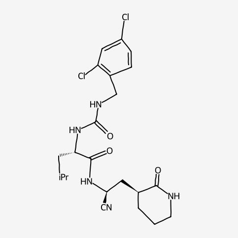 CC(C)C[C@H](NC(=O)NCc1ccc(Cl)cc1Cl)C(=O)N[C@H](C#N)C[C@@H]1CCCNC1=O